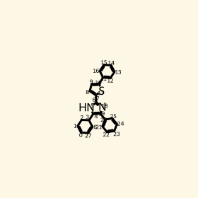 C1=CCC(c2[nH]c(-c3ccc(-c4ccccc4)s3)nc2-c2ccccc2)C=C1